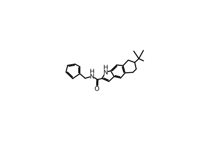 CC(C)(C)C1CCc2cc3cc(C(=O)NCc4ccccc4)[nH]c3cc2C1